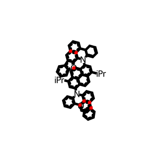 CC(C)c1cc(N(C2=CC=CCC2c2ccccc2)c2cccc3c2oc2ccccc23)c2ccc3c(C(C)C)cc(N(c4ccccc4-c4ccccc4)c4cccc5c4oc4ccccc45)c4ccc1c2c34